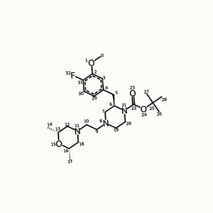 COc1cc(C[C@@H]2CN(CCN3C[C@@H](C)O[C@@H](C)C3)CCN2C(=O)OC(C)(C)C)ccc1F